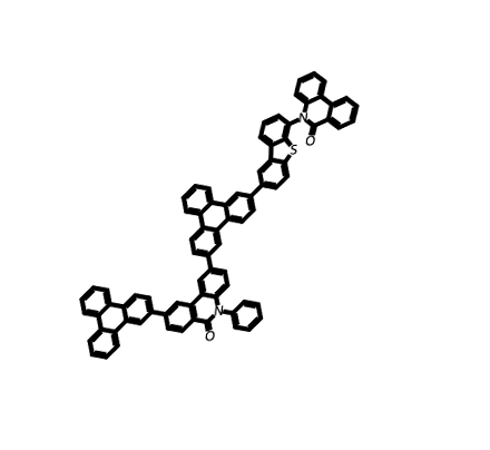 O=c1c2ccc(-c3ccc4c5ccccc5c5ccccc5c4c3)cc2c2cc(-c3ccc4c5ccccc5c5cc(-c6ccc7sc8c(-n9c(=O)c%10ccccc%10c%10ccccc%109)cccc8c7c6)ccc5c4c3)ccc2n1-c1ccccc1